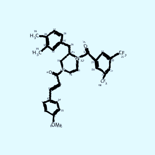 COc1ccc(C=CC(=O)N2CCN(C(=O)c3cc(C(F)(F)F)cc(C(F)(F)F)c3)C(Cc3ccc(C)c(C)c3)C2)cc1